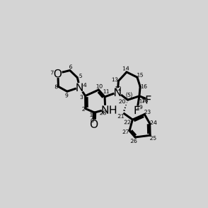 O=c1cc(N2CCOCC2)cc(N2CCCCC(F)(F)[C@@H]2Cc2ccccc2)[nH]1